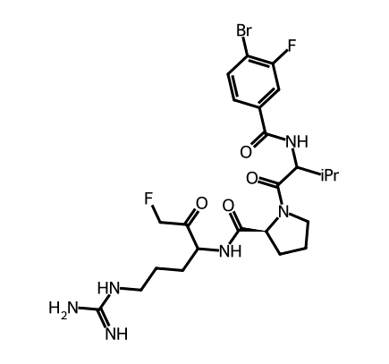 CC(C)C(NC(=O)c1ccc(Br)c(F)c1)C(=O)N1CCC[C@H]1C(=O)NC(CCCNC(=N)N)C(=O)CF